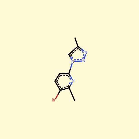 Cc1cn(-c2ccc(Br)c(C)n2)nn1